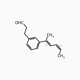 C/C=C\C=C(/C)c1cccc(CCC=O)c1